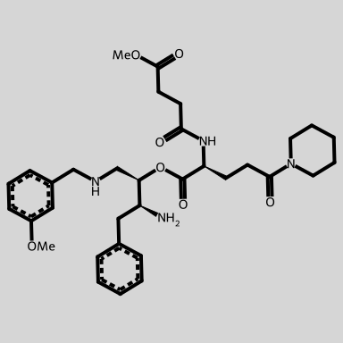 COC(=O)CCC(=O)N[C@@H](CCC(=O)N1CCCCC1)C(=O)O[C@H](CNCc1cccc(OC)c1)[C@@H](N)Cc1ccccc1